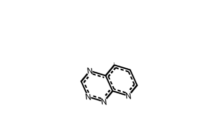 [c]1ccnc2nncnc12